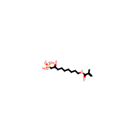 C=C(C)C(=O)OCCCCCCCC(=O)CP(=O)(O)O